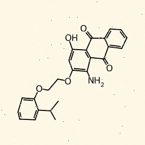 CC(C)c1ccccc1OCCOc1cc(O)c2c(c1N)C(=O)c1ccccc1C2=O